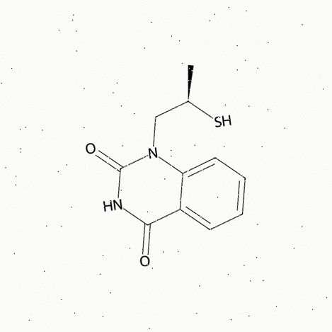 C[C@@H](S)Cn1c(=O)[nH]c(=O)c2ccccc21